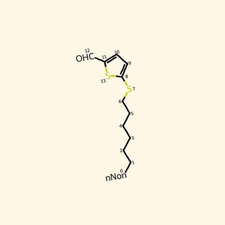 CCCCCCCCCCCCCCCSc1ccc(C=O)s1